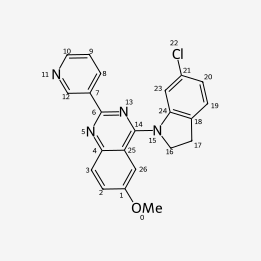 COc1ccc2nc(-c3cccnc3)nc(N3CCc4ccc(Cl)cc43)c2c1